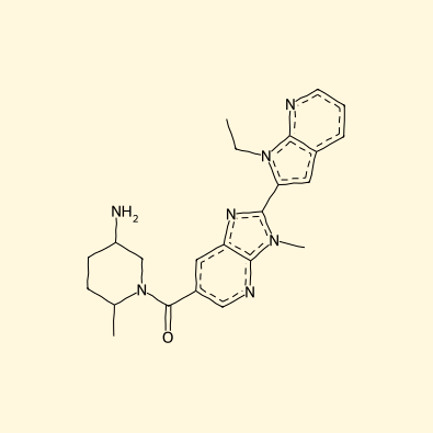 CCn1c(-c2nc3cc(C(=O)N4CC(N)CCC4C)cnc3n2C)cc2cccnc21